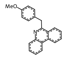 COc1ccc(Cc2nc3ccccc3c3ccccc23)cc1